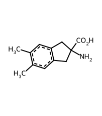 Cc1cc2c(cc1C)CC(N)(C(=O)O)C2